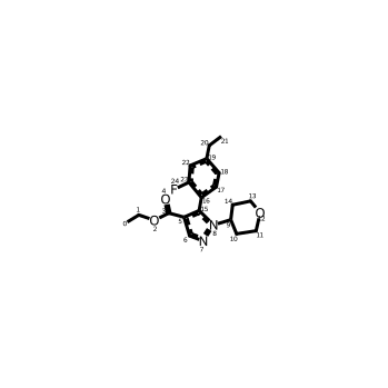 CCOC(=O)c1cnn(C2CCOCC2)c1-c1ccc(CC)cc1F